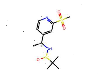 C[C@H](N[S+]([O-])C(C)(C)C)c1ccnc(S(C)(=O)=O)c1